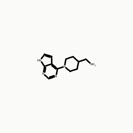 NCC1CCN(c2ncnc3[nH]ccc23)CC1